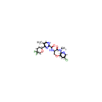 Cc1cnc(C(=O)NC2COc3cc(Cl)cnc3N(C)C2=O)nc1C1CCC(F)(F)CO1